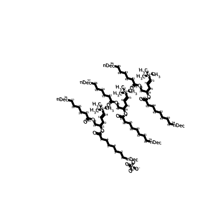 CCCCCCCCCCCCCCCCCC(=O)OC(CC=C[N+](C)(C)C)COC(=O)CCCCCCCCCCCCCCC.CCCCCCCCCCCCCCCCCC(=O)OC(CC=C[N+](C)(C)C)COC(=O)CCCCCCCCCCCCCCC.CCCCCCCCCCCCCCCCCC(=O)OC(CC=C[N+](C)(C)C)COC(=O)CCCCCCCCCCCCCCC.O=P([O-])([O-])[O-]